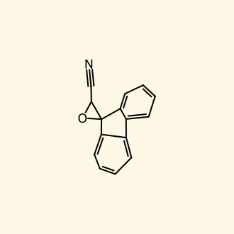 N#CC1OC12c1ccccc1-c1ccccc12